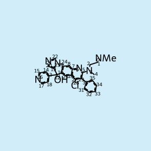 CNCCN(C)c1nc2ccc(C(O)(c3ccncc3)c3cncn3C)cc2c(Cl)c1-c1ccccc1